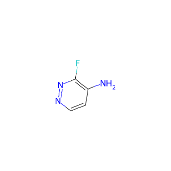 Nc1ccnnc1F